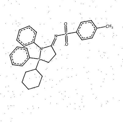 Cc1ccc(S(=O)(=O)N=C2CCS(c3ccccc3)(C3CCCCC3)N2c2ccccc2)cc1